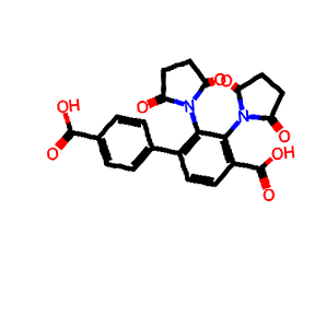 O=C(O)c1ccc(-c2ccc(C(=O)O)c(N3C(=O)CCC3=O)c2N2C(=O)CCC2=O)cc1